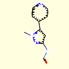 Cn1nc(NC=O)cc1-c1ccncc1